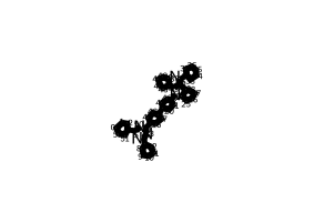 c1ccc(-c2nc(-c3ccccc3)nc(-c3ccc(-c4ccc(-n5c6ccccc6c6c(-c7ccccc7)nc7ccccc7c65)cc4)cc3)n2)cc1